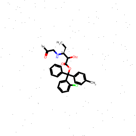 [3H]C(=O)CN[C@@H](CC)C(O)C(=O)OC(c1ccccc1)(c1ccc(C)cc1)c1ccccc1Cl